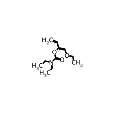 C=CC(=COCC)OC(=O)N(CC)CC